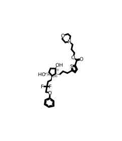 O=C(OCCCN1CCOCC1)c1ccc(CCC[C@@H]2[C@@H](CCC(F)(F)COc3ccccc3)[C@H](O)C[C@@H]2O)s1